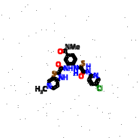 CNC(=O)[C@H]1CC[C@H](NC(=S)C(=O)Nc2ccc(Cl)cn2)[C@H](NC(=O)C2NC3=C(CN(C)CC3)S2)C1